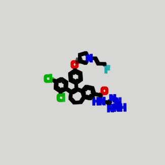 O=C(Nc1nn[nH]n1)c1ccc2c(c1)CCCC(c1ccc(Cl)cc1Cl)=C2c1ccc(O[C@H]2CCN(CCCF)C2)cc1